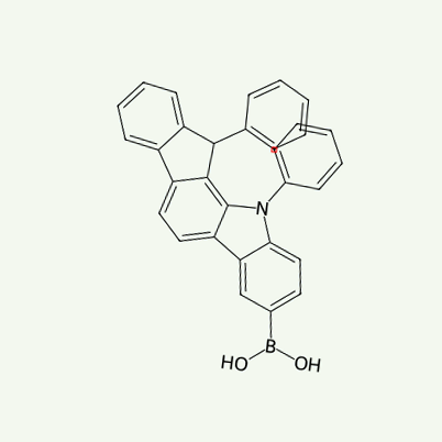 OB(O)c1ccc2c(c1)c1ccc3c(c1n2-c1ccccc1)C(c1ccccc1)c1ccccc1-3